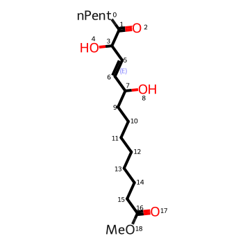 CCCCCC(=O)C(O)/C=C/C(O)CCCCCCCC(=O)OC